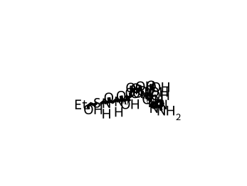 CCC(O)CCSCCNC(=O)CCNC(=O)[C@H](O)C(C)(C)COP(=O)(O)OP(=O)(O)OC[C@H]1O[C@@H](n2cnc3c(N)ncnc32)[C@H](O)[C@@H]1OP(=O)(O)O